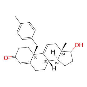 Cc1ccc(C[C@]23CCC(=O)C=C2CC[C@@H]2C3=CC[C@]3(C)C(O)CC[C@@H]23)cc1